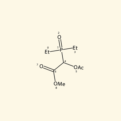 CCP(=O)(CC)C(OC(C)=O)C(=O)OC